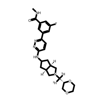 [2H]C([2H])([C@H]1COCCO1)N1C[C@H]2CC(Nc3ccc(-c4cc(F)cc(C(=O)NC)c4)nn3)C[C@H]2C1